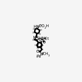 CCNS(=O)(=O)c1cc(CC(=O)N(C)C(C)C)ccc1-c1cnc(C2CCC(NC(=O)O)CC2)s1